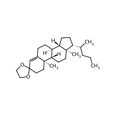 CCCC(C)[C@H]1CC[C@H]2[C@@H]3CCC4=CC5(CC[C@]4(C)[C@H]3CC[C@]12C)OCCO5